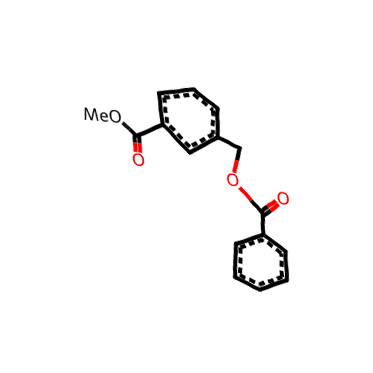 COC(=O)c1cccc(COC(=O)c2ccccc2)c1